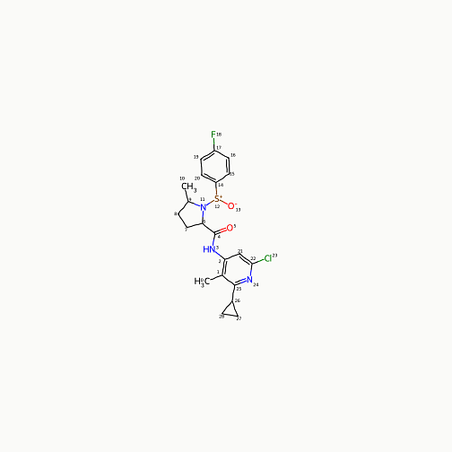 Cc1c(NC(=O)C2CCC(C)N2[S+]([O-])c2ccc(F)cc2)cc(Cl)nc1C1CC1